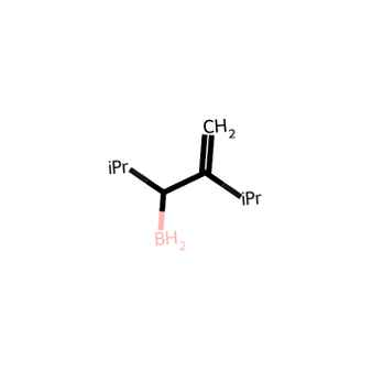 BC(C(=C)C(C)C)C(C)C